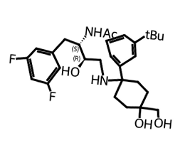 CC(=O)N[C@@H](Cc1cc(F)cc(F)c1)[C@H](O)CNC1(c2cccc(C(C)(C)C)c2)CCC(O)(CO)CC1